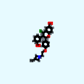 CCC1CN(CCOc2ccc([C@@H]3Oc4ccc(O)cc4C(F)=C3c3cccc(O)c3)cc2)C1